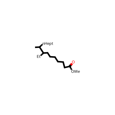 CCCCCCCC(C)C(CC)CCCCCCC(=O)OC